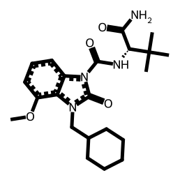 COc1cccc2c1n(CC1CCCCC1)c(=O)n2C(=O)N[C@H](C(N)=O)C(C)(C)C